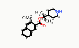 COc1cc2ccccc2cc1C(=O)OC(C)(C)C1CCNCC1